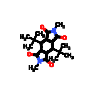 Cn1c(=O)c2c(C(C)(C)C)c3c(=O)n(C)c(=O)c3c(C(C)(C)C)c2c1=O